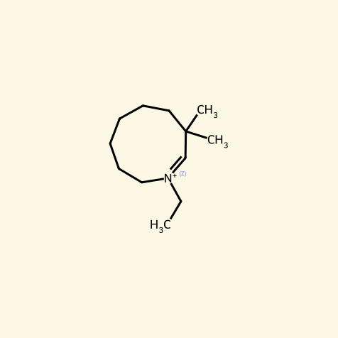 CC/[N+]1=C/C(C)(C)CCCCCC1